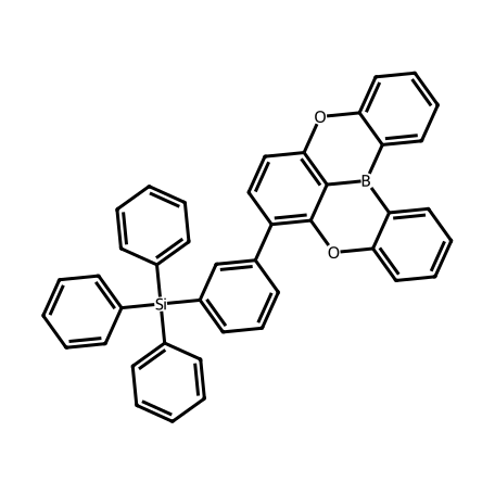 c1ccc([Si](c2ccccc2)(c2ccccc2)c2cccc(-c3ccc4c5c3Oc3ccccc3B5c3ccccc3O4)c2)cc1